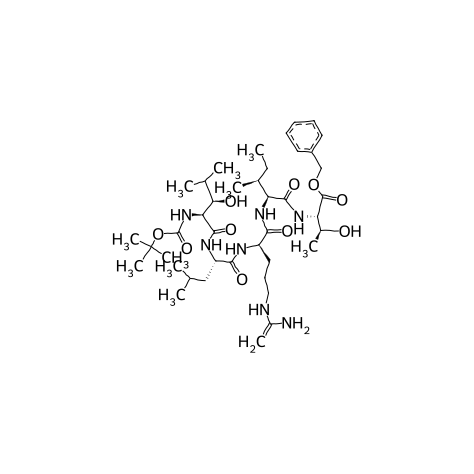 C=C(N)NCCC[C@@H](NC(=O)[C@H](CC(C)C)NC(=O)[C@@H](NC(=O)OC(C)(C)C)[C@H](O)C(C)C)C(=O)N[C@H](C(=O)N[C@H](C(=O)OCc1ccccc1)[C@H](C)O)[C@@H](C)CC